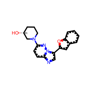 O[C@@H]1CCCN(c2ccc3ncc(-c4cc5ccccc5o4)n3n2)C1